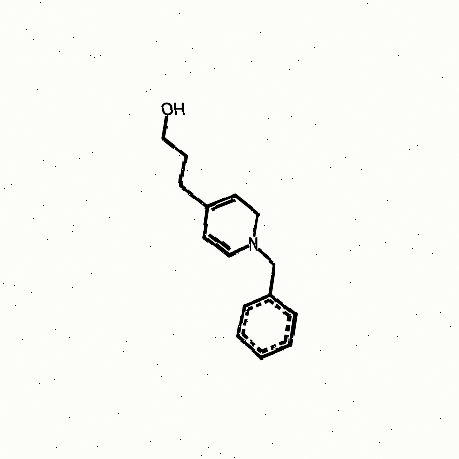 OCCCC1=CCN(Cc2ccccc2)C=C1